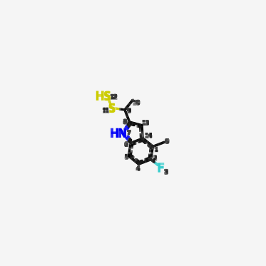 Cc1c(F)ccc2[nH]c(C(C)SS)cc12